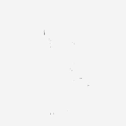 CCS(=O)(=O)c1ccc([C@H](CO)NC(=O)c2cnc3c(c2)CN(C[C@@H]2CCCCO2)C3)cc1